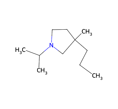 CCCC1(C)CCN(C(C)C)C1